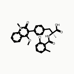 COc1c(-c2ccc(C[C@](C)(NC(=O)c3c(C)cccc3Cl)C(=O)O)cc2)c(=O)n(C)c2ccccc12